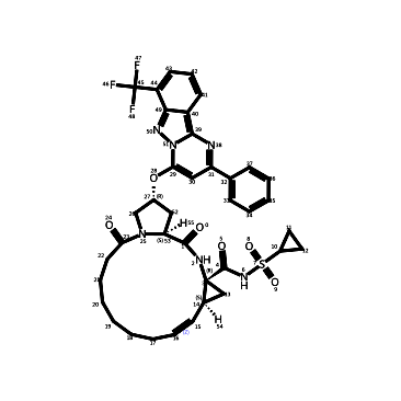 O=C1N[C@]2(C(=O)NS(=O)(=O)C3CC3)C[C@H]2/C=C\CCCCCCC(=O)N2C[C@H](Oc3cc(-c4ccccc4)nc4c5cccc(C(F)(F)F)c5nn34)C[C@@H]12